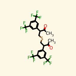 CC(=O)C(CSCC(C(C)=O)c1cc(C(F)(F)F)cc(C(F)(F)F)c1)c1cc(C(F)(F)F)cc(C(F)(F)F)c1